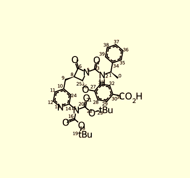 C[C@@H](NC(=O)N1C(=O)[C@H](Cc2ccnc(N(C(=O)OC(C)(C)C)C(=O)OC(C)(C)C)c2)[C@H]1Oc1ccc(C(=O)O)cc1)c1ccccc1